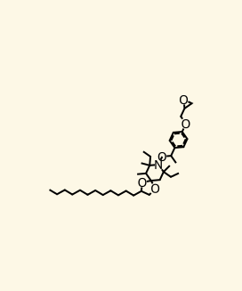 CCCCCCCCCCCCC1COC2(CC(C)(CC)N(OC(C)c3ccc(OCC4CO4)cc3)C(C)(CC)C2C)O1